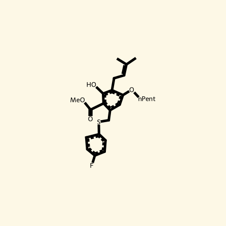 CCCCCOc1cc(CSc2ccc(F)cc2)c(C(=O)OC)c(O)c1CC=C(C)C